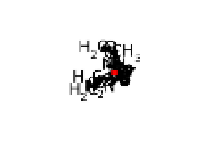 C=CC(=O)OC(C)COc1ccc(C2(c3ccc(OCC(C)OC(=O)C=C)c(CN)c3)c3ccccc3-c3ccccc32)cc1CN